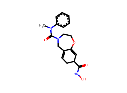 CN(C(=O)N1CCOC2=CC(C(=O)NO)CC=C2C1)c1ccccc1